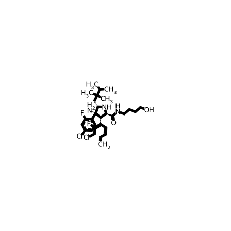 C=C/C=C\C(=C(\F)CCl)[C@H]1[C@H](C(=O)NCCCCO)N[C@@H](CC(C)(C)C(C)C)[C@]1(N)c1ccc(Cl)cc1F